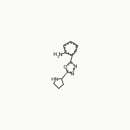 Nc1ccccc1-c1nnc(C2CCCN2)o1